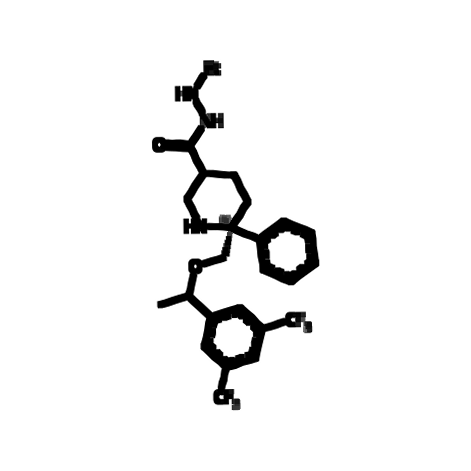 CCNNC(=O)C1CC[C@@](COC(C)c2cc(C(F)(F)F)cc(C(F)(F)F)c2)(c2ccccc2)NC1